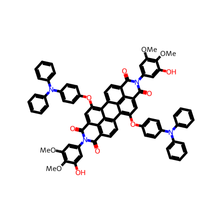 COc1cc(N2C(=O)c3ccc4c5c(Oc6ccc(N(c7ccccc7)c7ccccc7)cc6)cc6c7c(ccc(c8c(Oc9ccc(N(c%10ccccc%10)c%10ccccc%10)cc9)cc(c3c48)C2=O)c75)C(=O)N(c2cc(O)c(OC)c(OC)c2)C6=O)cc(O)c1OC